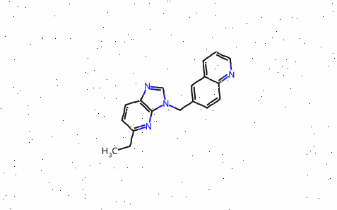 CCc1ccc2ncn(Cc3ccc4ncccc4c3)c2n1